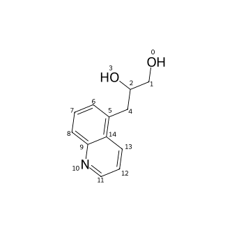 OCC(O)Cc1cccc2ncccc12